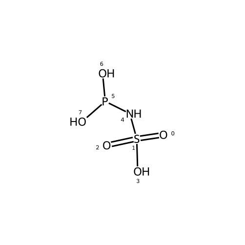 O=S(=O)(O)NP(O)O